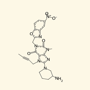 CC#CCn1c(N2CCCC(N)C2)nc2c1c(=O)n(Cc1nc3cc([N+](=O)[O-])ccc3o1)c(=O)n2C